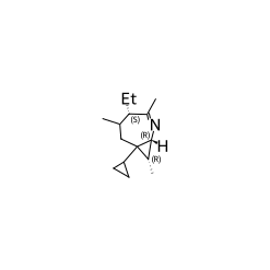 CC[C@@H]1C(C)=N[C@@H]2[C@H](C)C2(C2CC2)CC1C